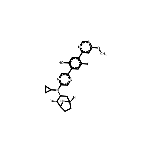 COc1cc(-c2cc(O)c(-c3cnc(N(C4CC4)[C@H]4C[C@@H]5CCC(N5)[C@H]4F)cn3)cc2F)ncn1